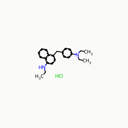 CCNc1ccc(Cc2ccc(N(CC)CC)cc2)c2ccccc12.Cl